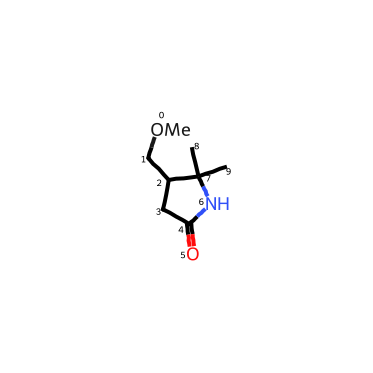 COCC1CC(=O)NC1(C)C